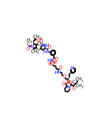 CCC(C)(C)C(=O)C(=O)N1CCCCC1C(=O)O[C@H](CCc1cccnc1)COCCNC(=O)CCCS(=O)(=O)NC(=O)c1cccc(NC(=O)[C@@H]2C[C@H](SC3=C(C)N(C(C)=O)[C@@H](C[C@@H](C)O)[C@H]3C)CN2)c1